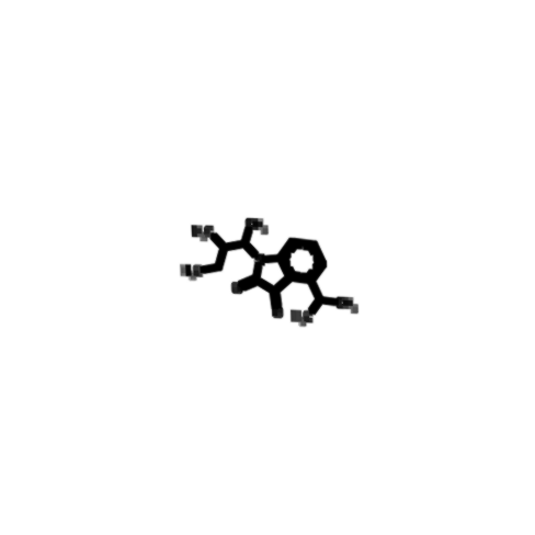 CCC(C)C(C)N1C(=O)C(=O)c2c(C(C)C)cccc21